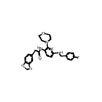 O=C(Cc1ccc2c(c1)OCO2)Nc1ccc(NCc2ccc(F)cc2)nc1N1CCOCC1